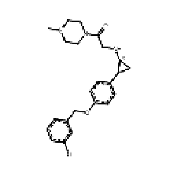 CN1CCN(C(=O)CN[C@H]2CC2c2ccc(OCc3cccc(Cl)c3)cc2)CC1